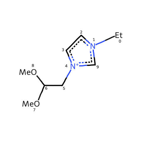 CCn1cc[n+](CC(OC)OC)c1